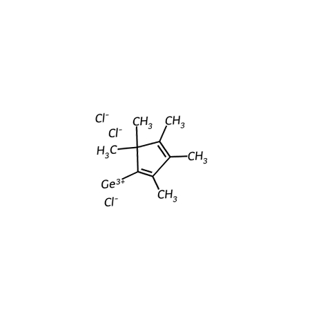 CC1=C(C)C(C)(C)[C]([Ge+3])=C1C.[Cl-].[Cl-].[Cl-]